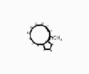 CC1=C2CCCC2CCCCCCCC=C1